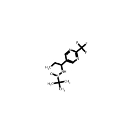 CCC(N[S+]([O-])C(C)(C)C)c1cnc(C(F)(F)F)nc1